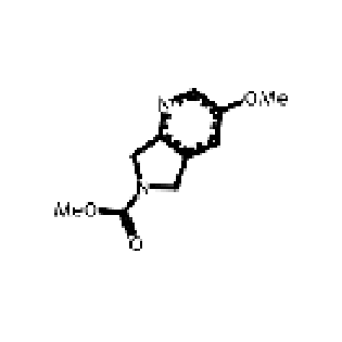 COC(=O)N1Cc2cc(OC)cnc2C1